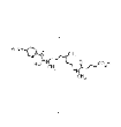 CC(=O)Nc1ccc(OC(O)N(C)CCCN(C)CCCN(C)C(O)CCCC(=O)O)cc1